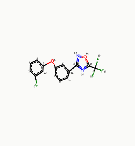 Fc1cccc(Oc2[c]ccc(-c3noc(C(F)(F)F)n3)c2)c1